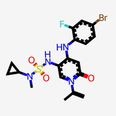 C=C(C)n1cc(NS(=O)(=O)N(C)C2CC2)c(Nc2ccc(Br)cc2F)cc1=O